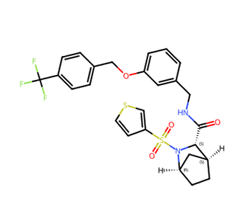 O=C(NCc1cccc(OCc2ccc(C(F)(F)F)cc2)c1)[C@@H]1[C@H]2CC[C@H](C2)N1S(=O)(=O)c1ccsc1